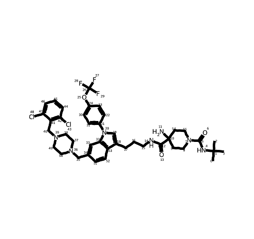 CC(C)(C)NC(=O)N1CCC(N)(C(=O)NCCCc2cn(-c3ccc(OC(F)(F)F)cc3)c3cc(CN4CCN(Cc5c(Cl)cccc5Cl)CC4)ccc23)CC1